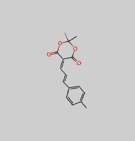 Cc1ccc(/C=C/C=C2C(=O)OC(C)(C)OC2=O)cc1